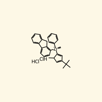 Cl.Cl.[CH2]=[Zr]([C]1=CC(C(C)(C)C)=CC1C)([c]1ccccc1)[c]1cccc2c1Cc1ccccc1-2